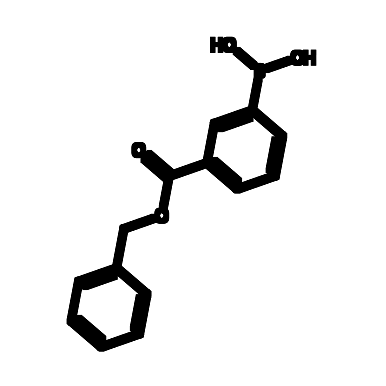 O=C(OCc1ccccc1)c1cccc(B(O)O)c1